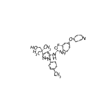 Cc1ccc(-n2nc(C(C)(C)CO)cc2NC(=O)Nc2ccc(Oc3ccncc3)cc2F)cc1